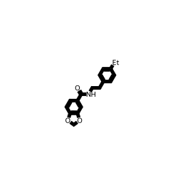 CCc1ccc(CCNC(=O)c2ccc3c(c2)OCO3)cc1